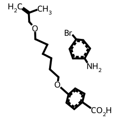 C=C(C)COCCCCCCOc1ccc(C(=O)O)cc1.Nc1ccc(Br)cc1